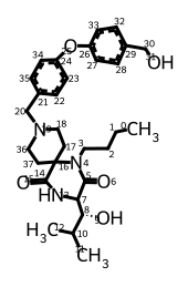 CCCCN1C(=O)C([C@H](O)C(C)C)NC(=O)C12CCN(Cc1ccc(Oc3ccc(CO)cc3)cc1)CC2